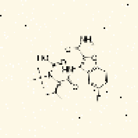 CC(C)[C@H](C(=O)Nc1c(C(N)=O)oc2ccc(F)cc12)N(C(=O)O)C(C)(C)C